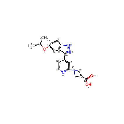 CC(C)Oc1ccc2[nH]nc(-c3ccnc(N4CC(C(=O)O)C4)c3)c2c1